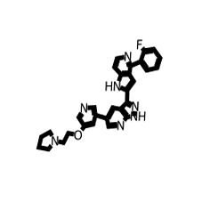 Fc1ccccc1-c1nccc2[nH]c(-c3n[nH]c4ncc(-c5cncc(OCCN6CCCC6)c5)cc34)cc12